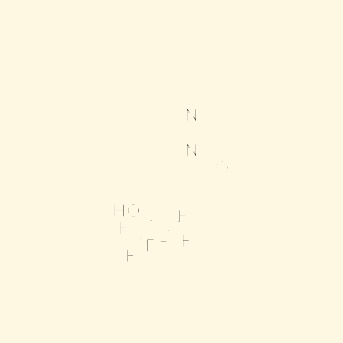 O=c1c2ccccc2nc(Cc2cccc3ccccc23)n1-c1ccc(C(O)(C(F)(F)F)C(F)(F)F)cc1